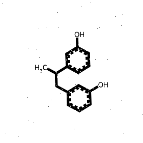 CC(Cc1cccc(O)c1)c1[c]ccc(O)c1